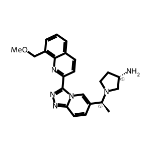 COCc1cccc2ccc(-c3nnc4ccc([C@H](C)N5CC[C@H](N)C5)cn34)nc12